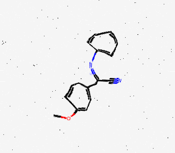 COc1ccc(/C(C#N)=N/c2ccccc2)cc1